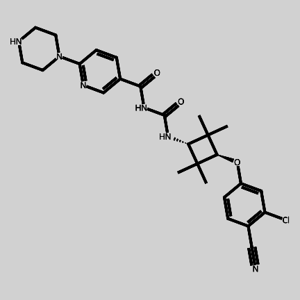 CC1(C)[C@H](NC(=O)NC(=O)c2ccc(N3CCNCC3)nc2)C(C)(C)[C@H]1Oc1ccc(C#N)c(Cl)c1